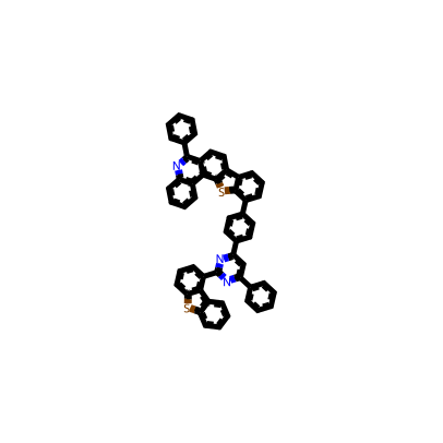 c1ccc(-c2cc(-c3ccc(-c4cccc5c4sc4c5ccc5c(-c6ccccc6)nc6ccccc6c54)cc3)nc(-c3cccc4sc5ccccc5c34)n2)cc1